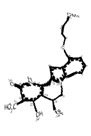 COCCOc1cccc2c1cc1n2CC(C(C)(C)C)c2c-1[nH]c(=O)c(C(=O)O)c2O